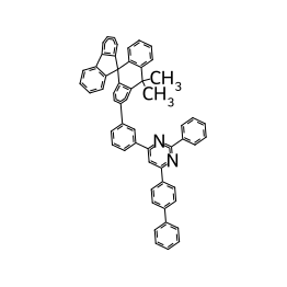 CC1(C)c2ccccc2C2(c3ccccc3-c3ccccc32)c2ccc(-c3cccc(-c4cc(-c5ccc(-c6ccccc6)cc5)nc(-c5ccccc5)n4)c3)cc21